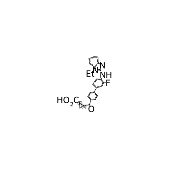 CCn1c(Nc2ccc(-c3ccc(C(=O)[C@H]4C[C@@H]4C(=O)O)cc3)cc2F)nc2ccccc21